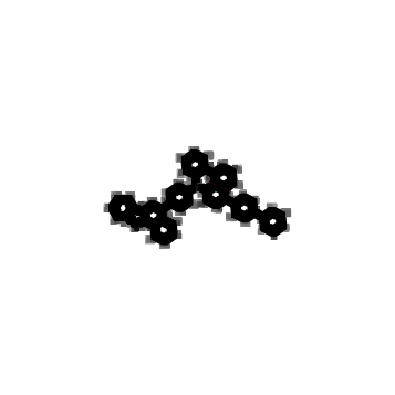 c1ccc(-c2ccc(-c3ccc(N(c4ccc(-c5cc6c7ccccc7sc6c6ccccc56)cc4)c4ccccc4-c4ccccc4)cc3)cc2)cc1